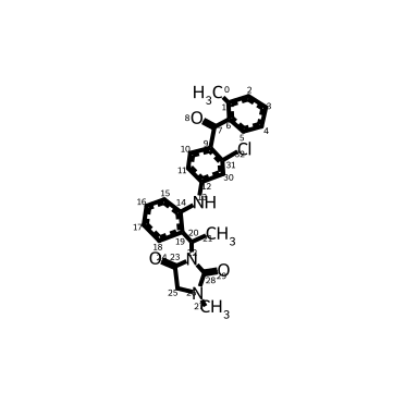 Cc1ccccc1C(=O)c1ccc(Nc2ccccc2C(C)N2C(=O)CN(C)C2=O)cc1Cl